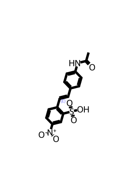 CC(=O)Nc1ccc(/C=C/c2ccc([N+](=O)[O-])cc2S(=O)(=O)O)cc1